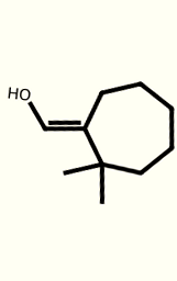 CC1(C)CCCCCC1=CO